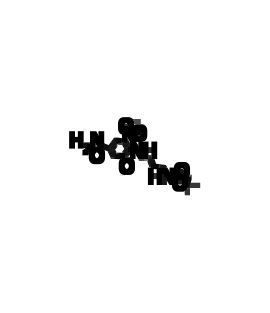 COc1cc(C(N)=O)cc([N+](=O)[O-])c1NCC=CCNC(=O)OC(C)(C)C